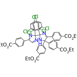 CCOC(=O)c1ccc(C2=NC(c3c(Cl)cc(Cl)cc3Cl)(C3(c4c(Cl)cc(Cl)cc4Cl)N=C(c4ccc(C(=O)OCC)cc4)C(c4ccc(C(=O)OCC)cc4)(c4ccc(C(=O)OCC)cc4)N3)N=C2)cc1